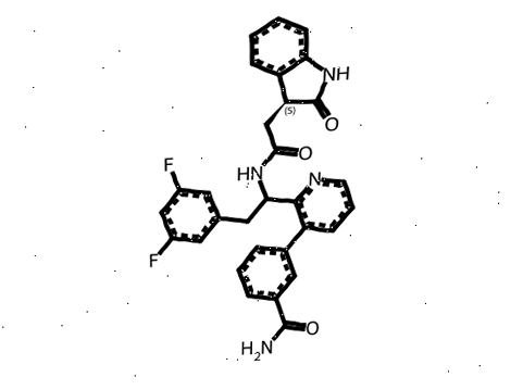 NC(=O)c1cccc(-c2cccnc2C(Cc2cc(F)cc(F)c2)NC(=O)C[C@@H]2C(=O)Nc3ccccc32)c1